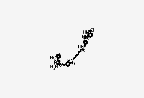 Nc1nnc(-c2ccccc2O)cc1OCCc1ccc(C(=O)NCCCCCCCCC(=O)NCc2ccc(S(=O)(=O)Nc3cccc4c(Cl)c[nH]c34)cc2)cc1